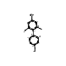 Cc1cc(Br)cc(C)c1-c1ccc(I)cc1